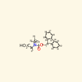 C[C@@H](C(=O)O)N(C(=O)OCC1c2ccccc2-c2ccccc21)[Si](C)(C)C